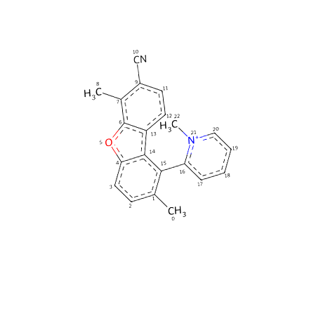 Cc1ccc2oc3c(C)c(C#N)ccc3c2c1-c1cccc[n+]1C